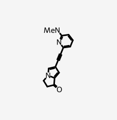 CNc1cccc(C#Cc2cc3n(c2)CCC3=O)n1